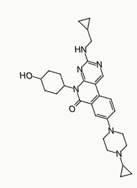 O=c1c2cc(N3CCN(C4CC4)CC3)ccc2c2cnc(NCC3CC3)nc2n1C1CCC(O)CC1